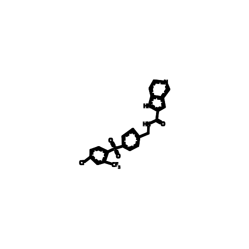 O=C(NCc1ccc(S(=O)(=O)c2ccc(Cl)cc2C(F)(F)F)cc1)c1cc2cnccc2[nH]1